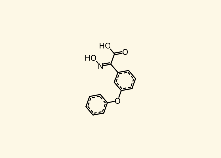 O=C(O)C(=NO)c1cccc(Oc2ccccc2)c1